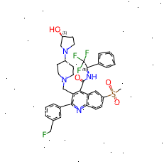 CS(=O)(=O)c1ccc2nc(-c3cccc(CF)c3)c(CN3CCC(N4CC[C@H](O)C4)CC3)c(C(=O)N[C@H](c3ccccc3)C(F)(F)F)c2c1